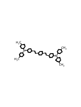 Cc1ccc(N(c2ccc(C)cc2)c2ccc(/C=C/c3ccc(/C=C/c4ccc(N(c5ccc(C)cc5)c5ccc(C)cc5)cc4)cc3)cc2)cc1